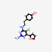 Nc1nc(NCCc2ccc(O)cc2)c(Cl)c(-c2ccco2)n1